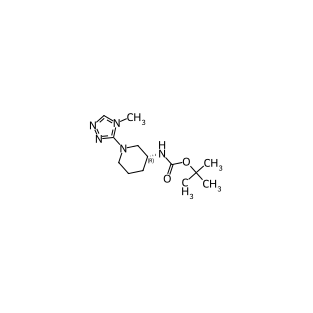 Cn1cnnc1N1CCC[C@@H](NC(=O)OC(C)(C)C)C1